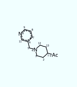 CC(=O)C1CCN(Cc2cccnc2)CC1